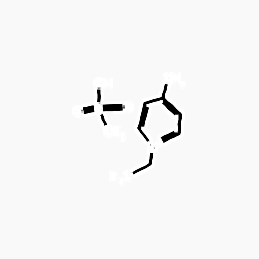 CC[n+]1ccc(C)cc1.CS(=O)(=O)O